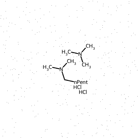 CCCCCCN(C)C.CN(C)C.Cl.Cl